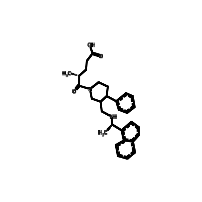 C[C@H](CCC(=O)O)C(=O)N1CCC(c2ccccc2)C(CN[C@H](C)c2cccc3ccccc23)C1